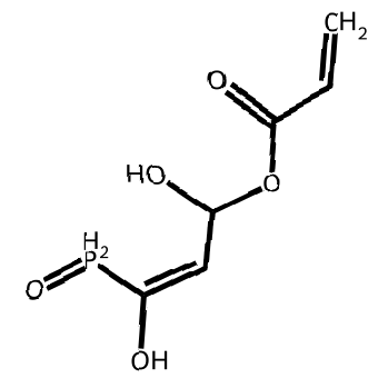 C=CC(=O)OC(O)C=C(O)[PH2]=O